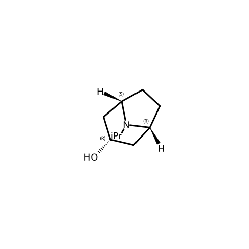 CC(C)N1[C@@H]2CC[C@H]1C[C@@H](O)C2